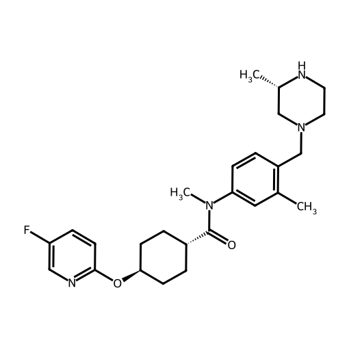 Cc1cc(N(C)C(=O)[C@H]2CC[C@H](Oc3ccc(F)cn3)CC2)ccc1CN1CCN[C@@H](C)C1